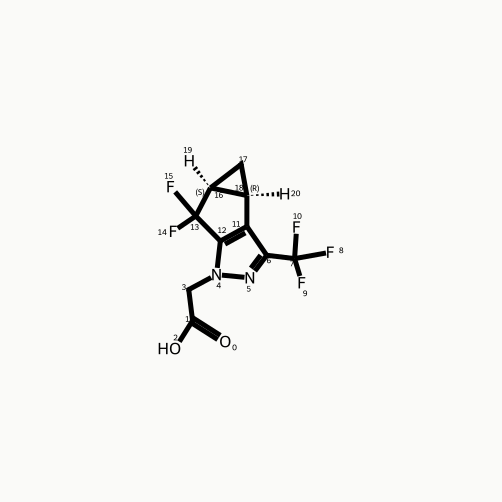 O=C(O)Cn1nc(C(F)(F)F)c2c1C(F)(F)[C@H]1C[C@@H]21